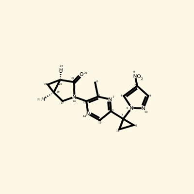 Cc1nc(C2(n3cc([N+](=O)[O-])cn3)CC2)cnc1N1C[C@H]2C[C@H]2C1=O